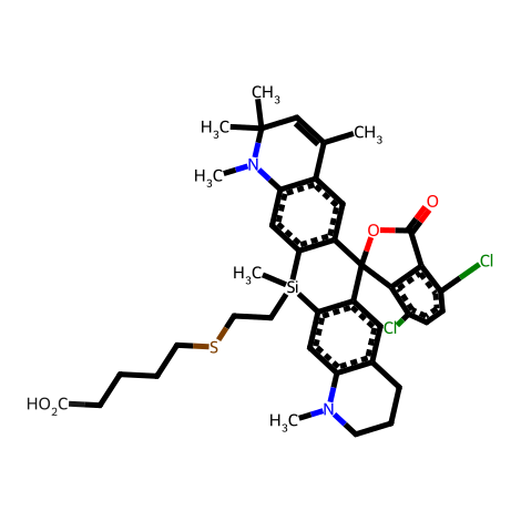 CC1=CC(C)(C)N(C)c2cc3c(cc21)C1(OC(=O)c2c(Cl)ccc(Cl)c21)c1cc2c(cc1[Si]3(C)CCSCCCCC(=O)O)N(C)CCC2